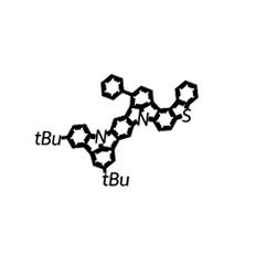 CC(C)(C)c1ccc2c(c1)c1cc(C(C)(C)C)cc3c4cc5c(cc4n2c13)c1c(-c2ccccc2)ccc2c3c4c(ccc3n5c21)sc1ccccc14